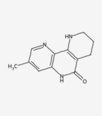 Cc1cnc2c3c(c(=O)[nH]c2c1)CCCN3